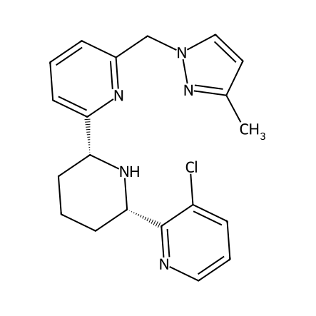 Cc1ccn(Cc2cccc([C@H]3CCC[C@@H](c4ncccc4Cl)N3)n2)n1